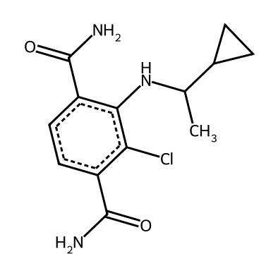 CC(Nc1c(C(N)=O)ccc(C(N)=O)c1Cl)C1CC1